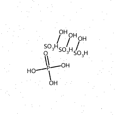 O=P(O)(O)O.O=S(=O)(O)O.O=S(=O)(O)O.O=S(=O)(O)O